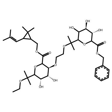 CCOC(C)(C)C1OC(C(=O)OCC2C(C=C(C)C)C2(C)C)[C@@H](OCCOC(C)(C)C2OC(C(=O)OCc3ccccc3)[C@@H](O)[C@H](O)C2O)[C@H](O)[C@@H]1O